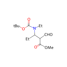 CCC(C(C=O)C(=O)OC)N(CC)C(=O)OC(C)(C)C